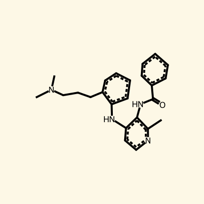 Cc1nccc(Nc2ccccc2CCCN(C)C)c1NC(=O)c1ccccc1